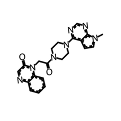 Cn1ccc2c(N3CCN(C(=O)Cn4c(=O)cnc5ccccc54)CC3)ncnc21